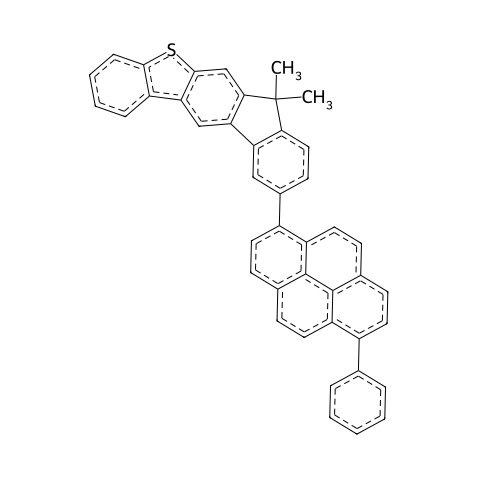 CC1(C)c2ccc(-c3ccc4ccc5c(-c6ccccc6)ccc6ccc3c4c65)cc2-c2cc3c(cc21)sc1ccccc13